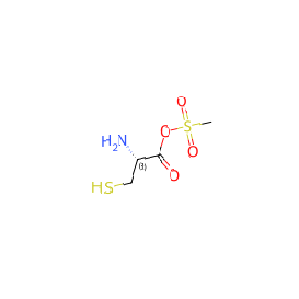 CS(=O)(=O)OC(=O)[C@@H](N)CS